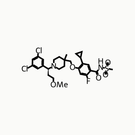 COCC[C@@H](c1cc(Cl)cc(Cl)c1)N1CCC(C)(COc2cc(F)c(C(=O)NS(C)(=O)=O)cc2C2CC2)CC1